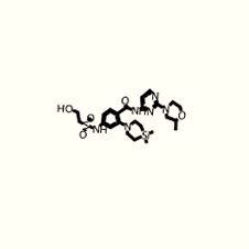 CC1CN(c2nccc(NC(=O)c3ccc(NS(=O)(=O)CCO)cc3N3CC[Si](C)(C)CC3)n2)CCO1